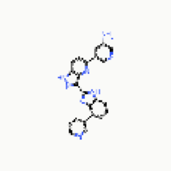 Nc1cncc(-c2ccc3[nH]nc(-c4nc5c(-c6cccnc6)cccc5[nH]4)c3n2)c1